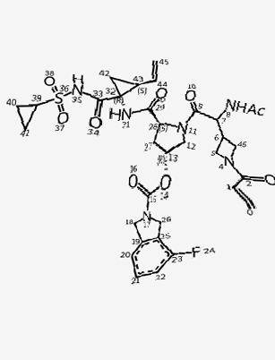 C=CC(=O)N1CC(C(NC(C)=O)C(=O)N2C[C@H](OC(=O)N3Cc4cccc(F)c4C3)C[C@H]2C(=O)N[C@]2(C(=O)NS(=O)(=O)C3CC3)C[C@H]2C=C)C1